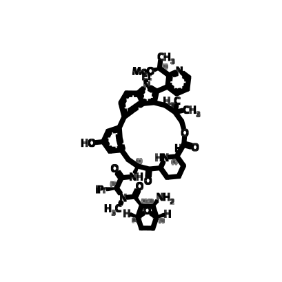 CCn1c(-c2cccnc2[C@H](C)OC)c2c3cc(ccc31)-c1cc(O)cc(c1)C[C@H](NC(=O)[C@H](C(C)C)N(C)C(=O)[C@H]1[C@@H](N)[C@@H]3CC[C@H]1O3)C(=O)C1CCC[C@H](N1)C(=O)OCC(C)(C)C2